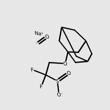 O=S([O-])C(F)(F)COC12CC3CC(CC(C3)C1)C2.[C]=O.[Na+]